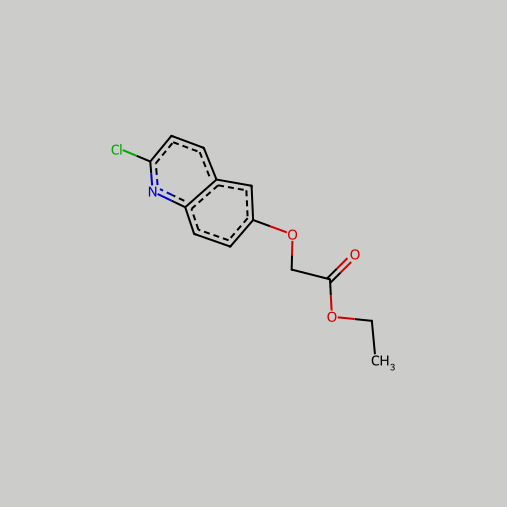 CCOC(=O)COc1ccc2nc(Cl)ccc2c1